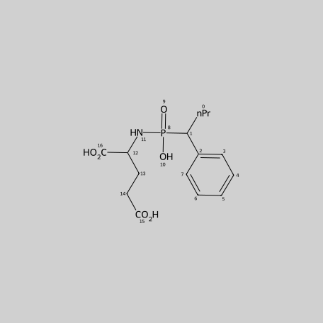 CCCC(c1ccccc1)P(=O)(O)NC(CCC(=O)O)C(=O)O